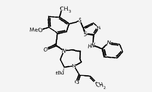 C=CC(=O)N1CCCN(C(=O)c2cc(Sc3cnc(Nc4ccccn4)s3)c(C)cc2OC)C[C@H]1C(C)(C)C